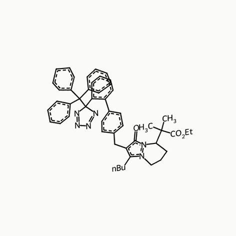 CCCCc1c(Cc2ccc(-c3ccccc3C3(C(c4ccccc4)(c4ccccc4)c4ccccc4)N=NN=N3)cc2)c(=O)n2n1CCCC2C(C)(C)C(=O)OCC